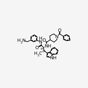 C[C@@H](c1c[nH]c2ccccc12)[C@@H](NC(=O)C1CCN(C(=O)c2ccccc2)CC1)C(=O)Nc1cccc(CN)c1